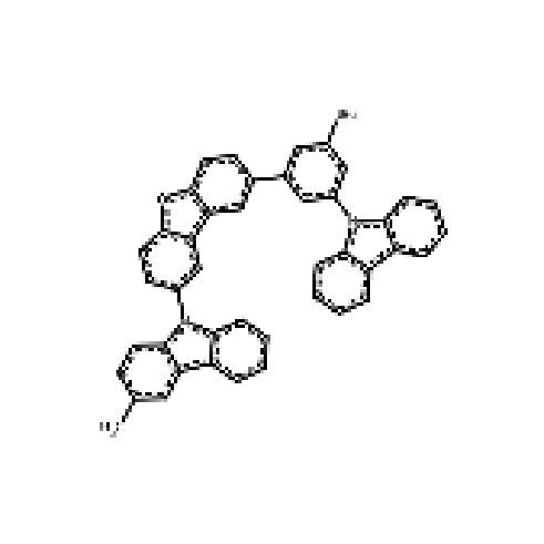 Cc1ccc2c(c1)c1ccccc1n2-c1ccc2oc3ccc(-c4cc(-n5c6ccccc6c6ccccc65)cc(C(C)(C)C)c4)cc3c2c1